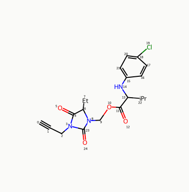 C#CCN1C(=O)C(CC)N(COC(=O)C(Nc2ccc(Cl)cc2)C(C)C)C1=O